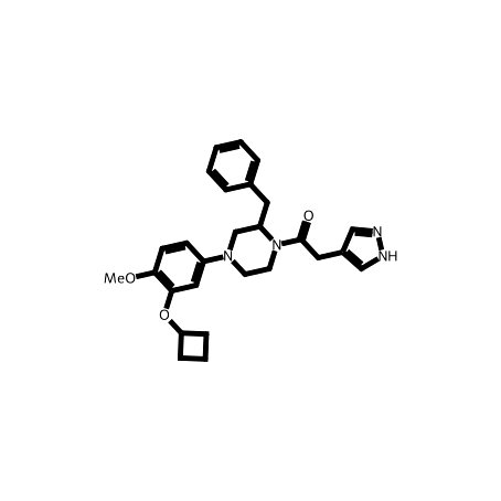 COc1ccc(N2CCN(C(=O)Cc3cn[nH]c3)C(Cc3ccccc3)C2)cc1OC1CCC1